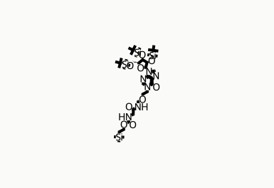 CC(C)(C)[Si](C)(C)OC[C@H]1O[C@@H](n2cnc3c(=O)n(CCOCNC(=O)CNC(=O)OCC[Si](C)(C)C)cnc32)[C@H](O[Si](C)(C)C(C)(C)C)[C@@H]1O[Si](C)(C)C(C)(C)C